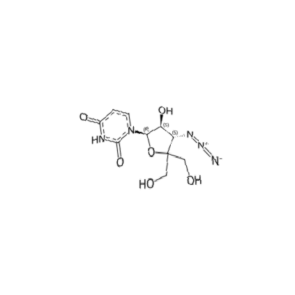 [N-]=[N+]=N[C@H]1[C@H](O)[C@H](n2ccc(=O)[nH]c2=O)OC1(CO)CO